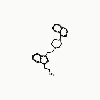 NCCc1cn(CCN2CCN(c3cccc4ccccc34)CC2)c2ccccc12